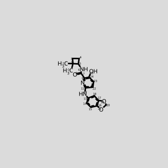 CC1(C)CCC1NC(=O)c1nc(Nc2ccc3c(c2)OCO3)ccc1O